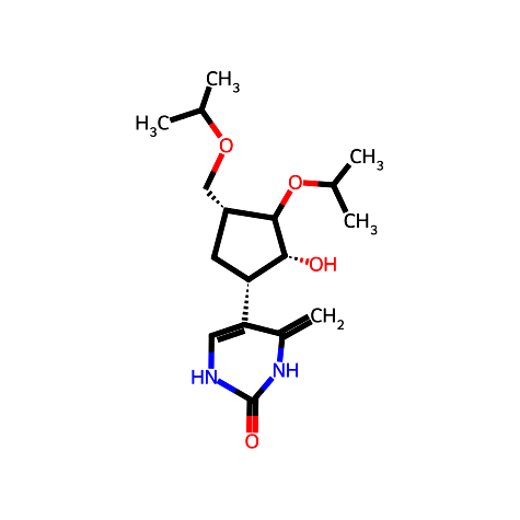 C=C1NC(=O)NC=C1[C@@H]1C[C@H](COC(C)C)C(OC(C)C)[C@@H]1O